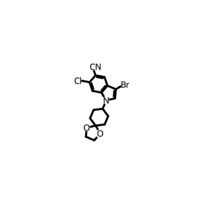 N#Cc1cc2c(Br)cn(C3CCC4(CC3)OCCO4)c2cc1Cl